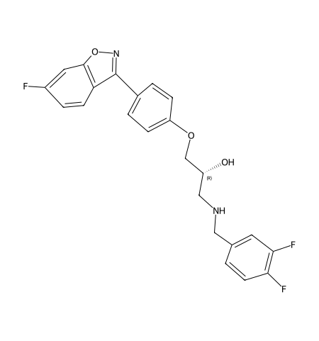 O[C@H](CNCc1ccc(F)c(F)c1)COc1ccc(-c2noc3cc(F)ccc23)cc1